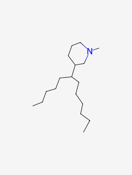 CCCCCCC(CCCCC)C1CCCN(C)C1